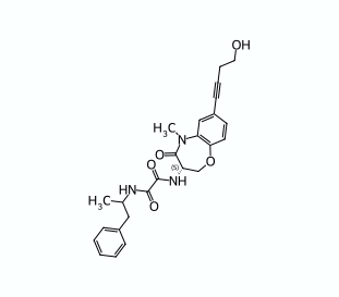 CC(Cc1ccccc1)NC(=O)C(=O)N[C@H]1COc2ccc(C#CCCO)cc2N(C)C1=O